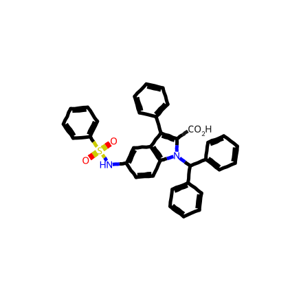 O=C(O)c1c(-c2ccccc2)c2cc(NS(=O)(=O)c3ccccc3)ccc2n1C(c1ccccc1)c1ccccc1